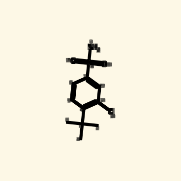 CC(C)(C)c1ccc(S(N)(=O)=O)cc1Cl